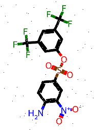 Nc1ccc(S(=O)(=O)Oc2cc(C(F)(F)F)cc(C(F)(F)F)c2)cc1[N+](=O)[O-]